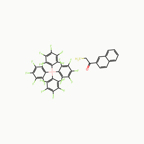 Fc1c(F)c(F)c([B-](c2c(F)c(F)c(F)c(F)c2F)(c2c(F)c(F)c(F)c(F)c2F)c2c(F)c(F)c(F)c(F)c2F)c(F)c1F.O=C(C[SH2+])c1ccc2ccccc2c1